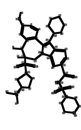 COc1ccc2c(c1)C(C)C(C)(S(=O)(=O)N1CC[C@@H](N(C)C)C1)Cn1c-2c(C2CCCCC2)c2ccc(C(=O)NS(=O)(=O)N3CCOCC3)cc21